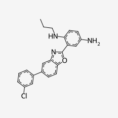 CCCNc1ccc(N)cc1-c1nc2cc(-c3cccc(Cl)c3)ccc2o1